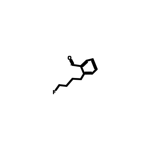 O=[C]c1ccccc1CCCCF